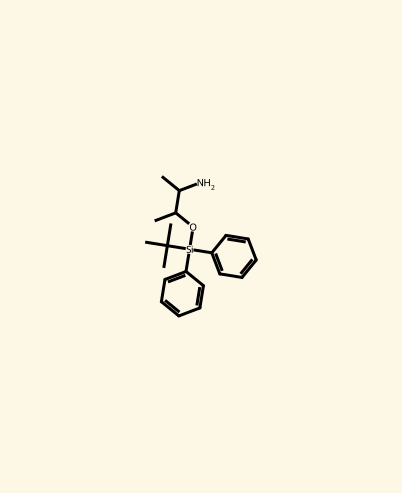 CC(N)C(C)O[Si](c1ccccc1)(c1ccccc1)C(C)(C)C